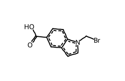 O=C(O)c1ccc2c(ccn2CBr)c1